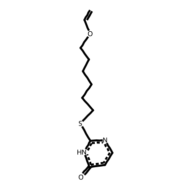 C=COCCCCCCSc1nccc(=O)[nH]1